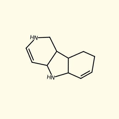 C1=CC2NC3C=CNCC3C2CC1